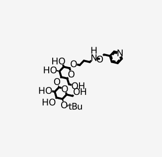 CC(C)(C)O[C@@H]1C(CO)O[C@@H](O[C@@H]2C(CO)O[C@@H](OCCCNOCc3cccnc3)C(O)[C@@H]2O)C(O)[C@@H]1O